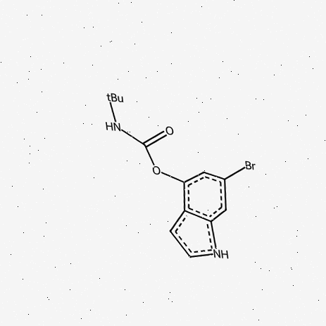 CC(C)(C)NC(=O)Oc1cc(Br)cc2[nH]ccc12